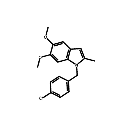 COc1cc2cc(C)n(Cc3ccc(Cl)cc3)c2cc1OC